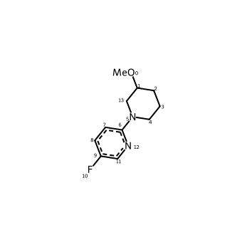 COC1CCCN(c2ccc(F)cn2)C1